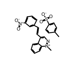 C[n+]1ncc(C=Cc2cccc([N+](=O)[O-])c2)c2ccccc21.Cc1ccc(S(=O)(=O)[O-])cc1